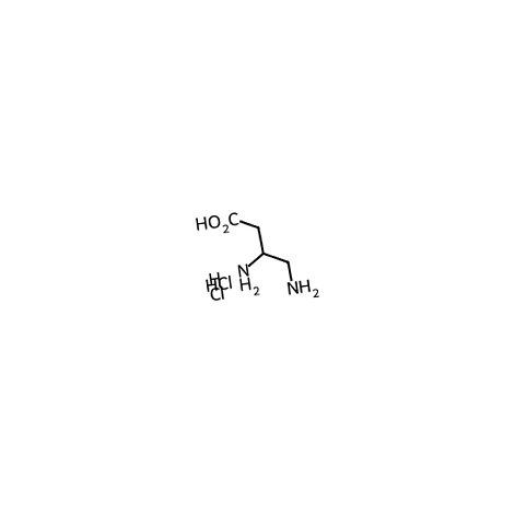 Cl.Cl.NCC(N)CC(=O)O